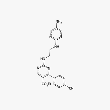 CCOC(=O)c1cnc(NCCNc2ccc(N)cn2)nc1-c1ccc(C#N)cc1